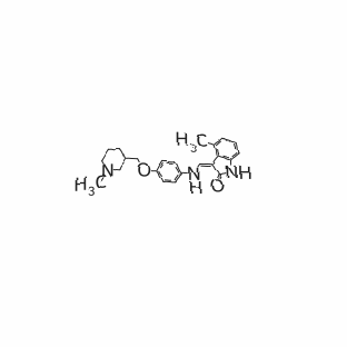 Cc1cccc2c1C(=CNc1ccc(OCC3CCCN(C)C3)cc1)C(=O)N2